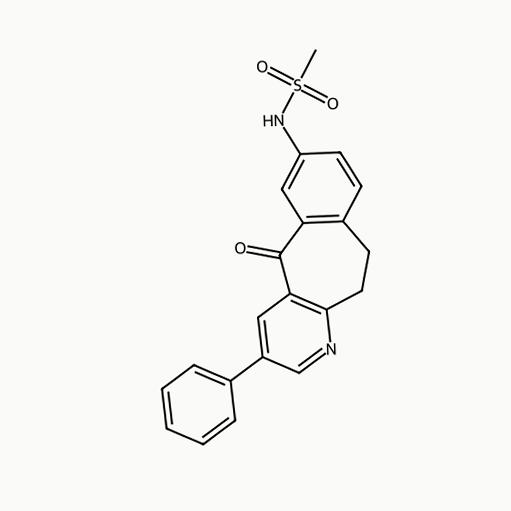 CS(=O)(=O)Nc1ccc2c(c1)C(=O)c1cc(-c3ccccc3)cnc1CC2